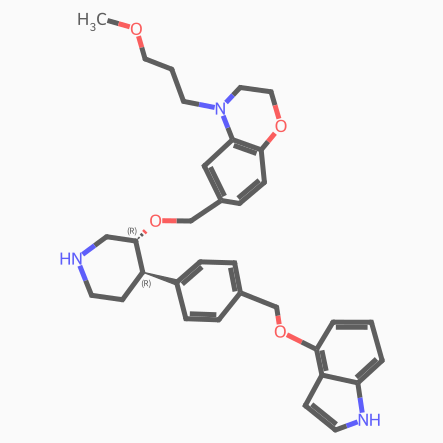 COCCCN1CCOc2ccc(CO[C@H]3CNCC[C@@H]3c3ccc(COc4cccc5[nH]ccc45)cc3)cc21